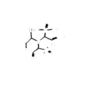 C=CC(N(C(CC(=O)O)C(=O)O)C(C=C)P(=O)(O)O)P(=O)(O)O